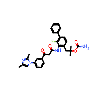 Cc1cn(-c2cccc(C(=O)CC(=O)Nc3c(CC(C)(C)OC(N)=O)ccc(-c4ccccc4)c3F)c2)c(C)n1